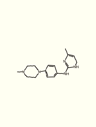 CC1=CCNC(Nc2ccc(N3CCN(C)CC3)cc2)=N1